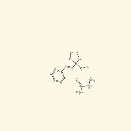 CO[Si](C=Cc1ccccc1)(OC)OC.NC(=O)N[SiH3]